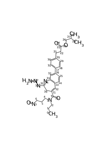 CCCN(CCCN=O)C(=O)C1=Cc2ccc(-c3ccc(CCC(=O)OCC(C)C)cc3)cc2N=C(N=NN)C1